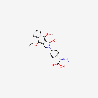 CCOc1c2c(c(OCC)c3ccccc13)C(=O)N(c1ccc(C(N)C(=O)O)cc1)C2